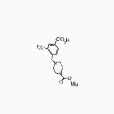 CC(C)(C)OC(=O)N1CCN(Cc2ccc(C(=O)O)cc2C(F)(F)F)CC1